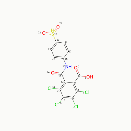 O=C(O)c1c(Cl)c(Cl)c(Cl)c(Cl)c1C(=O)Nc1ccc([SH](=O)=O)cc1